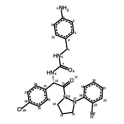 Nc1ccc(CNC(=O)N[C@H](C(=O)N2CCCN2c2ccccc2Br)c2ccc(Cl)cc2)cc1